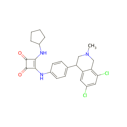 CN1Cc2c(Cl)cc(Cl)cc2C(c2ccc(Nc3c(NC4CCCC4)c(=O)c3=O)cc2)C1